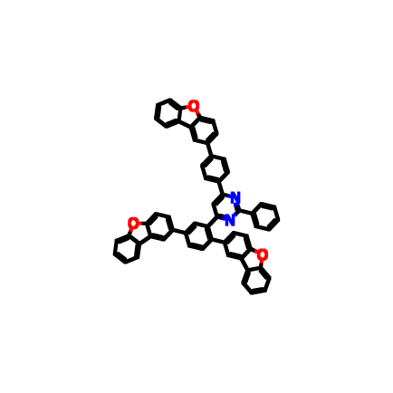 c1ccc(-c2nc(-c3ccc(-c4ccc5oc6ccccc6c5c4)cc3)cc(-c3cc(-c4ccc5oc6ccccc6c5c4)ccc3-c3ccc4oc5ccccc5c4c3)n2)cc1